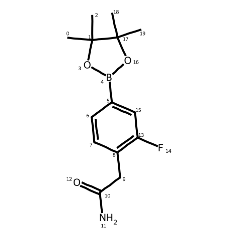 CC1(C)OB(c2ccc(CC(N)=O)c(F)c2)OC1(C)C